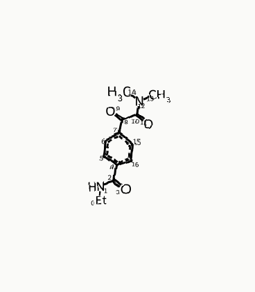 CCNC(=O)c1ccc(C(=O)C(=O)N(C)C)cc1